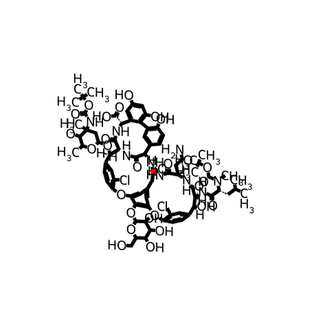 CC(C)C[C@H](C(=O)N[C@H]1C(=O)N[C@@H](CC(N)=O)C(=O)N[C@H]2C(=O)N[C@H]3C(=O)N[C@H](C(=O)N[C@H](C(=O)O)c4cc(O)cc(O)c4-c4cc3ccc4O)[C@H](OC3CC(C)(NC(=O)OC(C)(C)C)C(O)C(C)O3)c3ccc(c(Cl)c3)Oc3cc2cc(c3OC2OC(CO)C(O)C(O)C2O)Oc2ccc(cc2Cl)[C@H]1O)N(C)C(=O)OC(C)(C)C